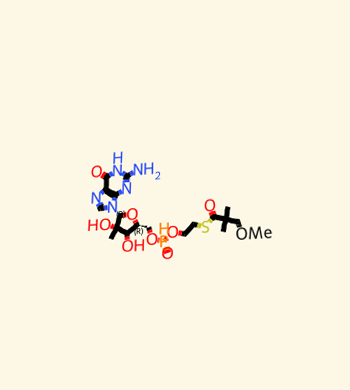 COCC(C)(C)C(=O)SCCO[PH](=O)OC[C@H]1O[C@@H](n2cnc3c(=O)[nH]c(N)nc32)C(C)(O)C1O